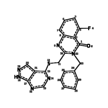 O=c1c2c(F)cccc2nc(CSc2ncnc3[nH]ncc23)n1Cc1ccccc1